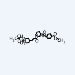 CCOC(=O)c1ccc(NC(=O)C2CCCN(C(=O)C=CC3CCN(C(=O)OC(C)(C)C)CC3)C2)cc1